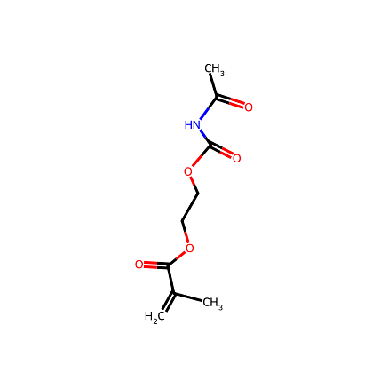 C=C(C)C(=O)OCCOC(=O)NC(C)=O